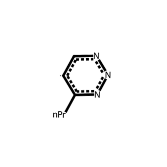 CCCc1[c]cnnn1